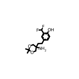 CC1(C)OCC(N)(CCc2ccc(O)c(C(F)F)c2)CO1